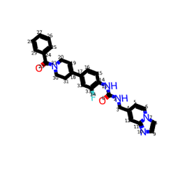 O=C(NCc1ccn2ccnc2c1)Nc1ccc(C2=CCN(C(=O)c3ccccc3)CC2)cc1F